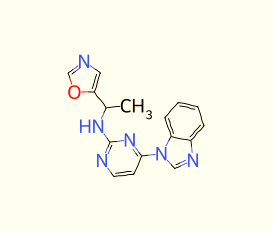 CC(Nc1nccc(-n2cnc3ccccc32)n1)c1cnco1